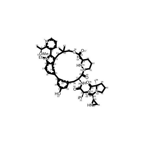 CCn1c(-c2cccnc2[C@H](C)OC)c2c3cc(ccc31)-c1cc(O)cc(c1)C[C@H](NC(=O)[C@H](C(C)C)N(C)C(=O)[C@@]1(C)CCCN1C(=O)[C@H]1CN1)C(=O)N1CCC[C@H](N1)C(=O)OCC(C)(C)C2